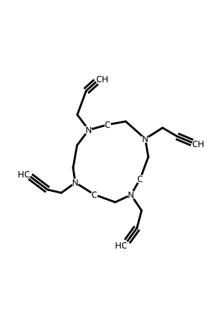 C#CCN1CCN(CC#C)CCN(CC#C)CCN(CC#C)CC1